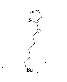 CCC(C)CCCCCOc1cccs1